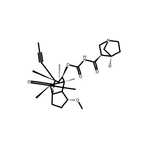 CC#C[C@]1(C)C[C@@H](OC(=O)NC(=O)[C@H]2CN3CC[C@@H]2C3)[C@@]2(C)C3[C@H](OC)CCC3(CC[C@H]2C)[C@@H](C)C1=O